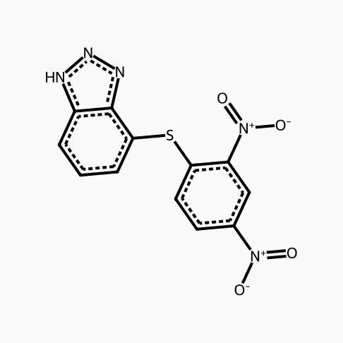 O=[N+]([O-])c1ccc(Sc2cccc3[nH]nnc23)c([N+](=O)[O-])c1